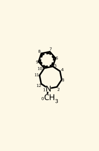 CN1CCCc2ccccc2CC1